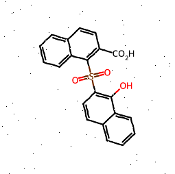 O=C(O)c1ccc2ccccc2c1S(=O)(=O)c1ccc2ccccc2c1O